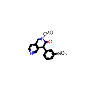 O=CN1Cc2ccncc2C(c2cccc([N+](=O)[O-])c2)C1=O